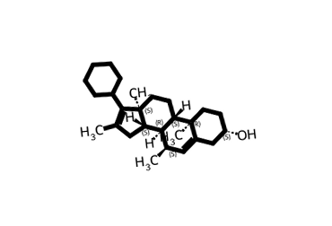 CC1=C(C2CCCCC2)[C@@]2(C)CC[C@H]3[C@@H]([C@H](C)C=C4C[C@@H](O)CC[C@@]43C)[C@@H]2C1